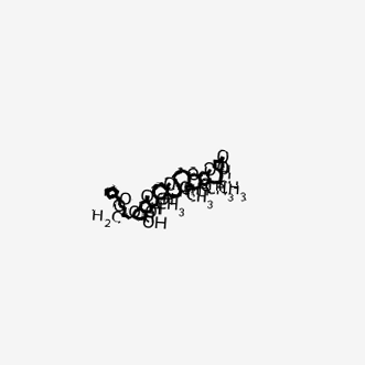 C=C(COC(=O)c1ccccc1)C[C@@H]1C[C@H](O)[C@@H]2O[C@@H]3C[C@]4(C)O[C@@H]5/C=C\C[C@@H]6O[C@H]7C(C/C=C\CC6OC5C/C=C\C4OC3CC2O1)OC1CC2OC3CC(=O)O[C@H]3C[C@@H](C)C[C@@]2(C)O[C@H]1C[C@@H]7C